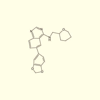 c1nc(NCC2CCCCO2)c2cc(-c3ccc4c(c3)OCO4)ccc2n1